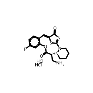 Cl.Cl.NCCC(=O)Oc1cc(F)ccc1C=C1SC(N2CCCCN2)=NC1=O